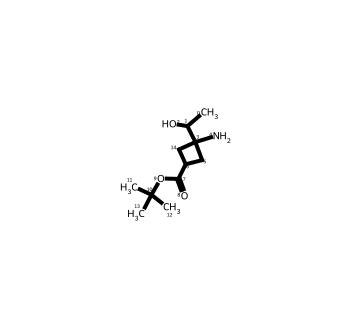 CC(O)C1(N)CC(C(=O)OC(C)(C)C)C1